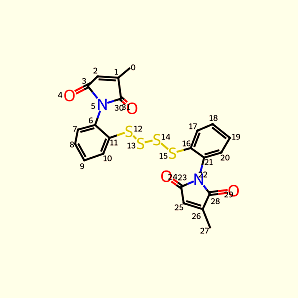 CC1=CC(=O)N(c2ccccc2SSSSc2ccccc2N2C(=O)C=C(C)C2=O)C1=O